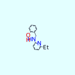 CCc1cccc(NCc2ccccc2O)n1